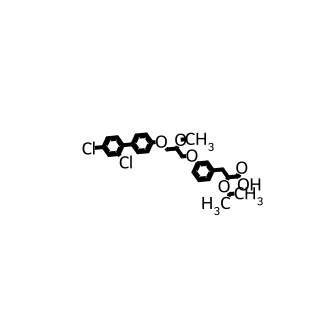 COC(COc1ccc(-c2ccc(Cl)cc2Cl)cc1)COc1cccc(CC(OC(C)C)C(=O)O)c1